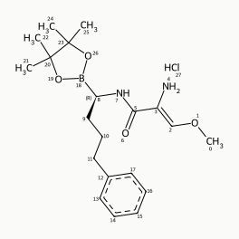 COC=C(N)C(=O)N[C@@H](CCCc1ccccc1)B1OC(C)(C)C(C)(C)O1.Cl